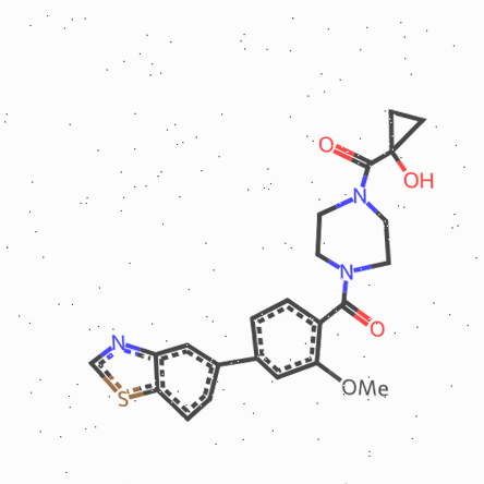 COc1cc(-c2ccc3scnc3c2)ccc1C(=O)N1CCN(C(=O)C2(O)CC2)CC1